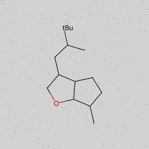 CC1CCC2C(CC(C)C(C)(C)C)COC12